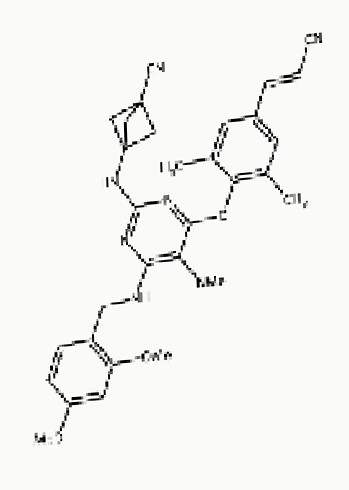 CNc1c(NCc2ccc(OC)cc2OC)nc(NC23CC(C#N)(C2)C3)nc1Oc1c(C)cc(/C=C/C#N)cc1C